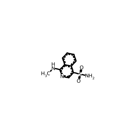 CNc1ncc(S(N)(=O)=O)c2ccccc12